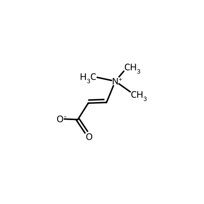 C[N+](C)(C)/C=C/C(=O)[O-]